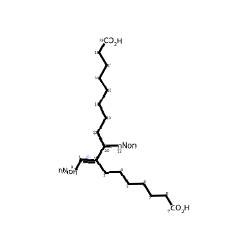 CCCCCCCCC/C=C(\CCCCCCC(=O)O)C(CCCCCCCCC)CCCCCCCC(=O)O